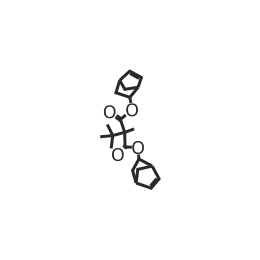 CC(C)(C)C(C)(C(=O)OC1CC2C=CC1C2)C(=O)OC1CC2C=CC1C2